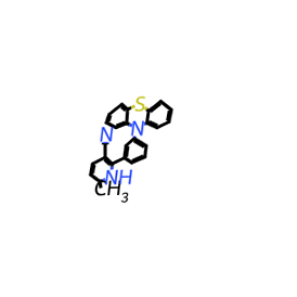 CC1C=CC(C#N)=C(c2cccc(N3c4ccccc4Sc4ccccc43)c2)N1